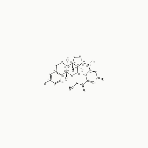 C=CC[C@@H](OC(=O)C(=C)CO)[C@@H](C)[C@H]1CC[C@H]2[C@@H]3CCc4cc(C)ccc4[C@H]3CC[C@]12C